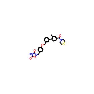 Cc1cc(C(=O)N2CCSCC2)ccc1-c1cccc(COc2ccc(Cn3oc(=O)[nH]c3=O)cc2)c1